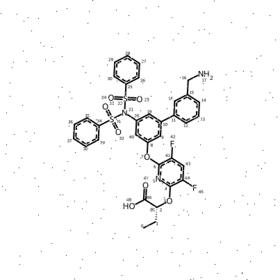 CC[C@@H](Oc1nc(Oc2cc(-c3cccc(CN)c3)cc(N(S(=O)(=O)c3ccccc3)S(=O)(=O)c3ccccc3)c2)c(F)cc1F)C(=O)O